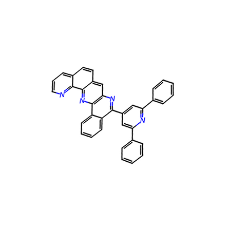 c1ccc(-c2cc(-c3nc4cc5ccc6cccnc6c5nc4c4ccccc34)cc(-c3ccccc3)n2)cc1